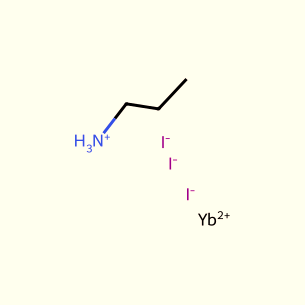 CCC[NH3+].[I-].[I-].[I-].[Yb+2]